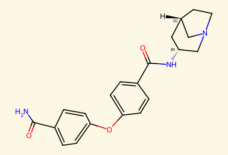 NC(=O)c1ccc(Oc2ccc(C(=O)N[C@@H]3C[C@@H]4CCN(C4)C3)cc2)cc1